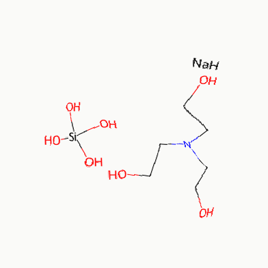 OCCN(CCO)CCO.O[Si](O)(O)O.[NaH]